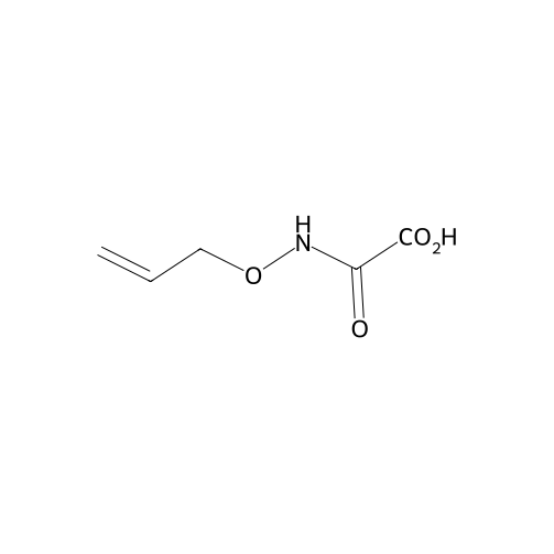 C=CCONC(=O)C(=O)O